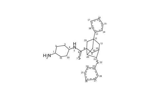 NC1CCC(NC(=S)C23CC4CC(c5ccccc5)(CC2C4Sc2ccccc2)C3)CC1